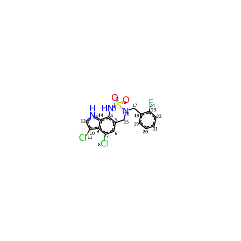 O=S1(=O)Nc2c(cc(Cl)c3c(Cl)c[nH]c23)CN1Cc1ccccc1F